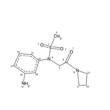 CS(=O)(=O)N(CC(=O)N1CCC1)c1cccc(N)c1